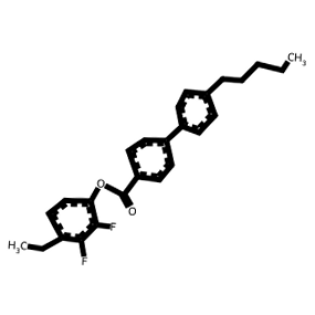 CCCCCc1ccc(-c2ccc(C(=O)Oc3ccc(CC)c(F)c3F)cc2)cc1